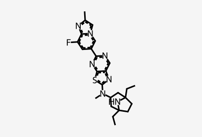 CCC12CCC(CC)(CC(N(C)c3nc4cnc(-c5cc(F)c6nc(C)cn6c5)nc4s3)C1)N2